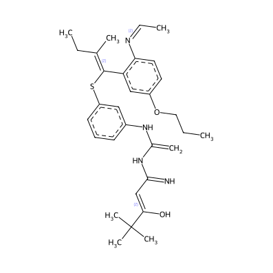 C=C(NC(=N)/C=C(\O)C(C)(C)C)Nc1cccc(S/C(=C(/C)CC)c2cc(OCCC)ccc2/N=C\C)c1